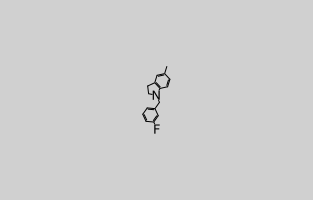 Cc1ccc2c(c1)CCN2Cc1cccc(F)c1